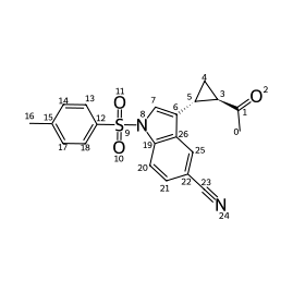 CC(=O)[C@@H]1C[C@H]1c1cn(S(=O)(=O)c2ccc(C)cc2)c2ccc(C#N)cc12